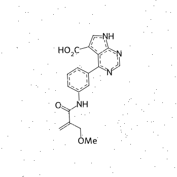 C=C(COC)C(=O)Nc1cccc(-c2ncnc3[nH]cc(C(=O)O)c23)c1